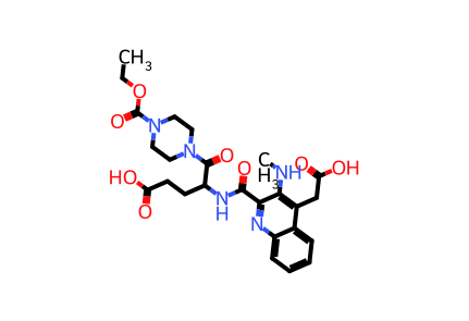 CCOC(=O)N1CCN(C(=O)C(CCC(=O)O)NC(=O)c2nc3ccccc3c(CC(=O)O)c2NC)CC1